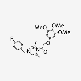 COc1cc(OCC(=O)N2[C@H](C)CN(Cc3ccc(F)cc3)C[C@@H]2C)cc(OC)c1OC